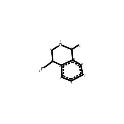 [CH2]C1OCC(F)c2ccccc21